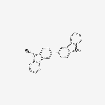 CCC(C)n1c2ccccc2c2cc(-c3ccc4[nH]c5ccccc5c4c3)ccc21